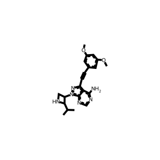 COc1cc(C#Cc2nn(C3CNC3[C](C)C)c3ncnc(N)c23)cc(OC)c1